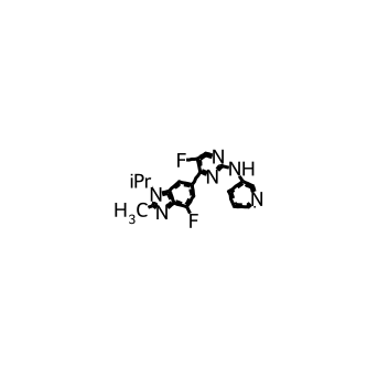 Cc1nc2c(F)cc(-c3nc(Nc4cc[c]nc4)ncc3F)cc2n1C(C)C